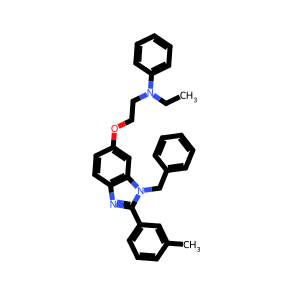 CCN(CCOc1ccc2nc(-c3cccc(C)c3)n(Cc3ccccc3)c2c1)c1ccccc1